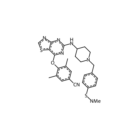 CNSc1ccc(CN2CCC(Nc3nc(Oc4c(C)cc(C#N)cc4C)c4scnc4n3)CC2)cc1